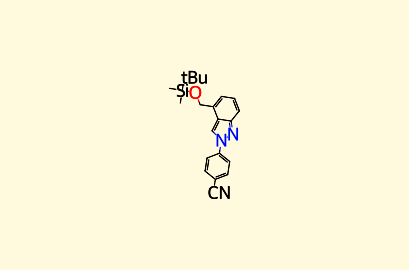 CC(C)(C)[Si](C)(C)OCc1cccc2nn(-c3ccc(C#N)cc3)cc12